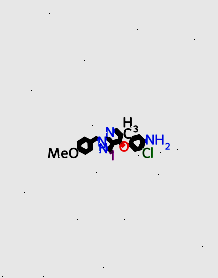 COc1ccc(Cn2nc(I)c3c(Oc4cc(Cl)c(N)cc4C)ccnc32)cc1